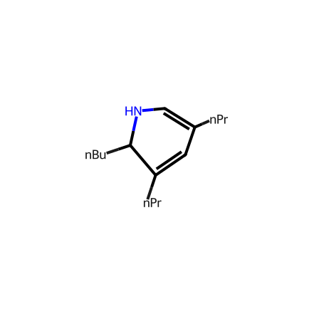 CCCCC1NC=C(CCC)C=C1CCC